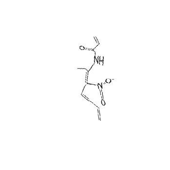 C=C/C=C\C(=C(/C)NC(=O)C=C)[N+](=O)[O-]